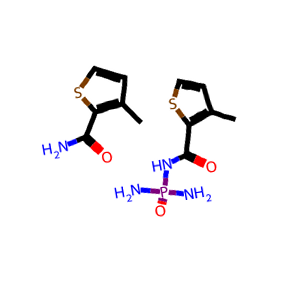 Cc1ccsc1C(=O)NP(N)(N)=O.Cc1ccsc1C(N)=O